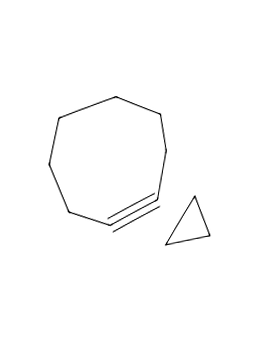 C1#CCCCCCC1.C1CC1